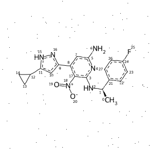 C[C@@H](Nc1nc(N)cc(-c2cc(C3CC3)[nH]n2)c1[N+](=O)[O-])c1ccc(F)cc1